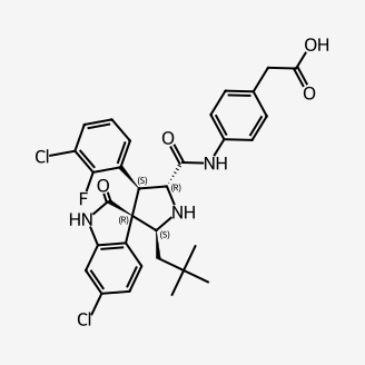 CC(C)(C)C[C@@H]1N[C@@H](C(=O)Nc2ccc(CC(=O)O)cc2)[C@H](c2cccc(Cl)c2F)[C@]12C(=O)Nc1cc(Cl)ccc12